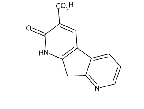 O=C(O)c1cc2c([nH]c1=O)Cc1ncccc1-2